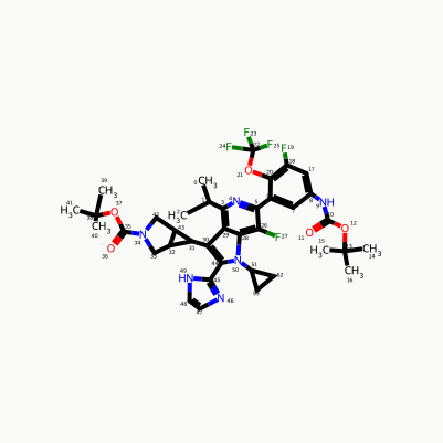 CC(C)c1nc(-c2cc(NC(=O)OC(C)(C)C)cc(F)c2OC(F)(F)F)c(F)c2c1c(C1C3CN(C(=O)OC(C)(C)C)CC31)c(-c1ncc[nH]1)n2C1CC1